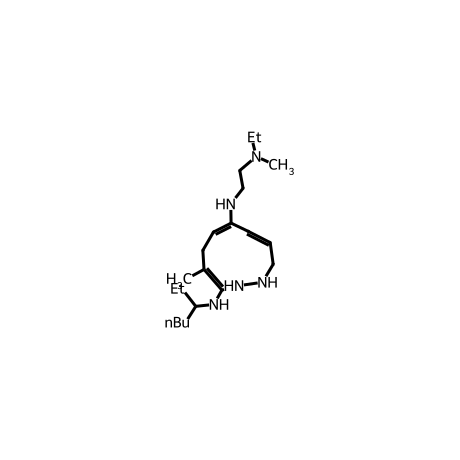 CCCCC(CC)N/C1=C(\C)C/C=C(NCCN(C)CC)\C=C/CNN1